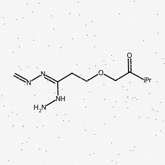 C=N/N=C(/CCOCC(=O)C(C)C)NN